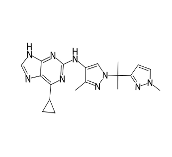 Cc1nn(C(C)(C)c2ccn(C)n2)cc1Nc1nc(C2CC2)c2nc[nH]c2n1